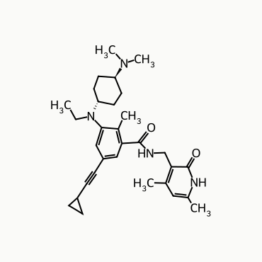 CCN(c1cc(C#CC2CC2)cc(C(=O)NCc2c(C)cc(C)[nH]c2=O)c1C)[C@H]1CC[C@H](N(C)C)CC1